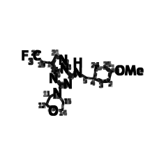 COc1ccc(CNc2nc(N3CCOCC3)nc3c(CC(F)(F)F)cnn23)cc1